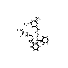 CN(CNNC(N)=S)C(COCc1cc(C(F)(F)F)cc(C(F)(F)F)c1)C(c1ccccc1)c1ccccc1